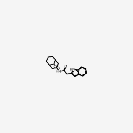 CN1C2CCCC1CC(NC(=O)Cc1cc3ccccc3[nH]1)C2